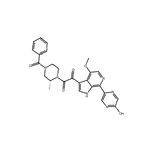 COc1cnc(-c2cnc(O)cn2)c2[nH]cc(C(=O)C(=O)N3CCN(C(=O)c4ccccc4)C[C@H]3C)c12